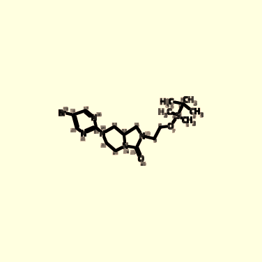 CC(C)(C)[Si](C)(C)OCCN1CC2CN(c3ncc(Br)cn3)CCN2C1=O